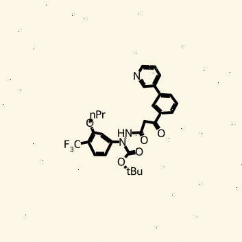 CCCOc1cc(N(NC(=O)CC(=O)c2cccc(-c3cccnc3)c2)C(=O)OC(C)(C)C)ccc1C(F)(F)F